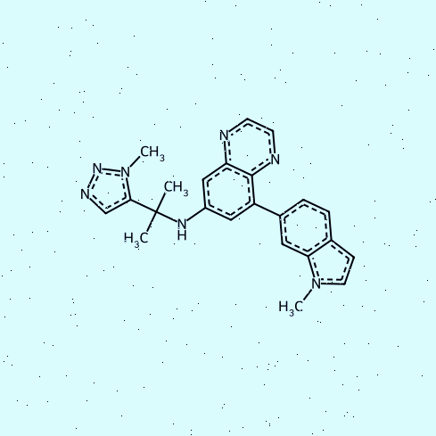 Cn1nncc1C(C)(C)Nc1cc(-c2ccc3ccn(C)c3c2)c2nccnc2c1